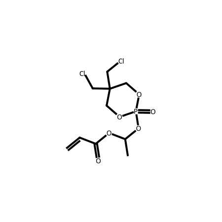 C=CC(=O)OC(C)OP1(=O)OCC(CCl)(CCl)CO1